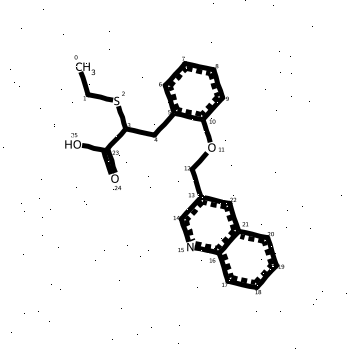 CCSC(Cc1ccccc1OCc1cnc2ccccc2c1)C(=O)O